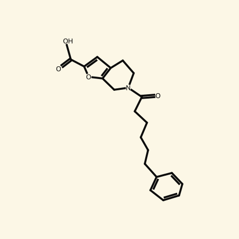 O=C(O)c1cc2c(o1)CN(C(=O)CCCCCc1ccccc1)CC2